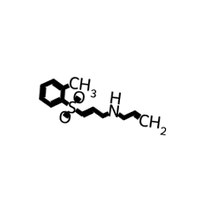 C=CCNCC=CS(=O)(=O)c1ccccc1C